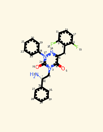 N[C@H](Cn1c(=O)c(Cc2c(F)cccc2F)nn(-c2ccccc2)c1=O)c1ccccc1